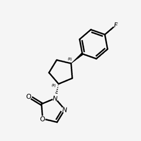 O=c1ocnn1[C@@H]1CC[C@@H](c2ccc(F)cc2)C1